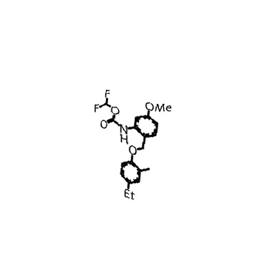 CCc1ccc(OCc2ccc(OC)cc2NC(=O)OC(F)F)c(C)c1